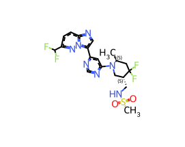 C[C@H]1CC(F)(F)[C@H](CNS(C)(=O)=O)CN1c1cc(-c2cnc3ccc(C(F)F)nn23)ncn1